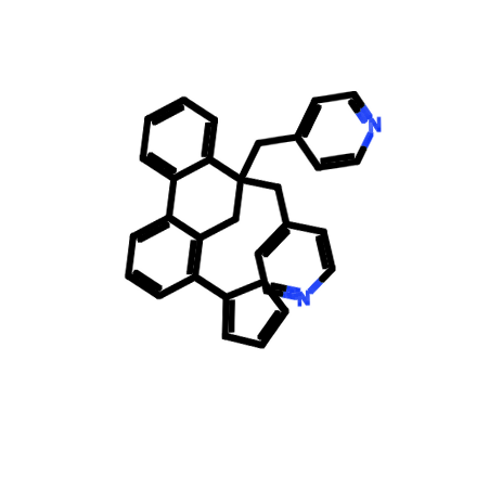 C1=CCC(c2cccc3c2CC(Cc2ccncc2)(Cc2ccncc2)c2ccccc2-3)=C1